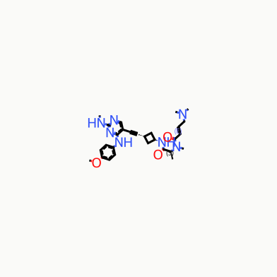 CNc1ncc(C#C[C@H]2C[C@@H](NC(=O)[C@H](C)N(C)C(=O)/C=C/CN(C)C)C2)c(Nc2ccc(OC)cc2)n1